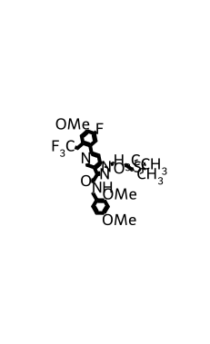 COc1ccc(CNC(=O)c2nn(COCC[Si](C)(C)C)c3cc(-c4cc(F)c(OC)cc4CC(F)(F)F)ncc23)c(OC)c1